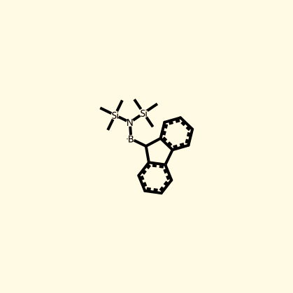 C[Si](C)(C)N([B]C1c2ccccc2-c2ccccc21)[Si](C)(C)C